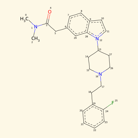 CN(C)C(=O)Cc1ccc2ccn(C3CCN(CCc4ccccc4F)CC3)c2c1